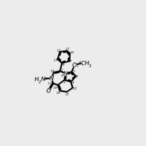 COc1cc2c3n1C(c1ccccc1)=CN(N)C(=O)C3=CCC2